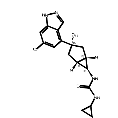 O=C(NC1CC1)N[C@H]1[C@@H]2C[C@@](O)(c3cc(Cl)cc4[nH]ncc34)C[C@@H]21